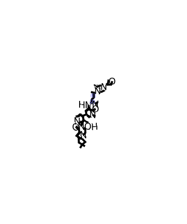 C=N/C(=C\C=C(/C)N1CCN(C2COC2)C[C@@H]1C)Nc1cc(-c2ccnc(N3CCn4c(cc5c4CC(C)(C)C5)C3=O)c2CO)cn(C)c1=O